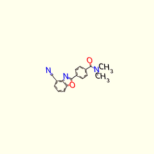 CN(C)C(=O)c1ccc(-c2nc3c(C#N)cccc3o2)cc1